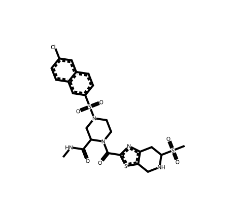 CNC(=O)C1CN(S(=O)(=O)c2ccc3cc(Cl)ccc3c2)CCN1C(=O)c1nc2c(s1)CNC(S(C)(=O)=O)C2